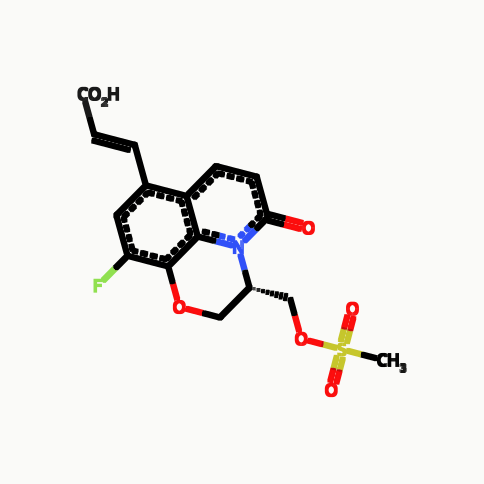 CS(=O)(=O)OC[C@@H]1COc2c(F)cc(C=CC(=O)O)c3ccc(=O)n1c23